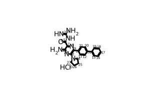 Cl.N=C(N)NC(=O)c1nc(-c2ccc(-c3ccccc3)cc2)c(N2CCCC2)nc1N